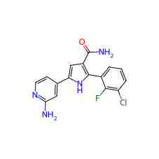 NC(=O)c1cc(-c2ccnc(N)c2)[nH]c1-c1cccc(Cl)c1F